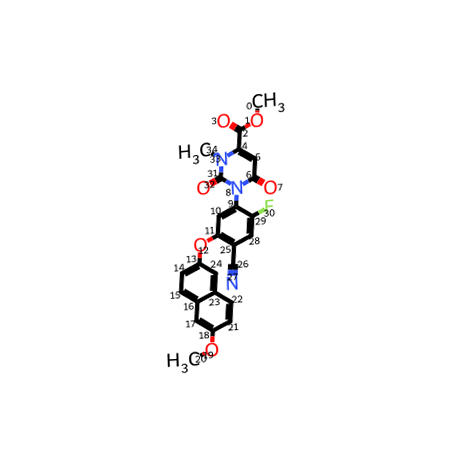 COC(=O)c1cc(=O)n(-c2cc(Oc3ccc4cc(OC)ccc4c3)c(C#N)cc2F)c(=O)n1C